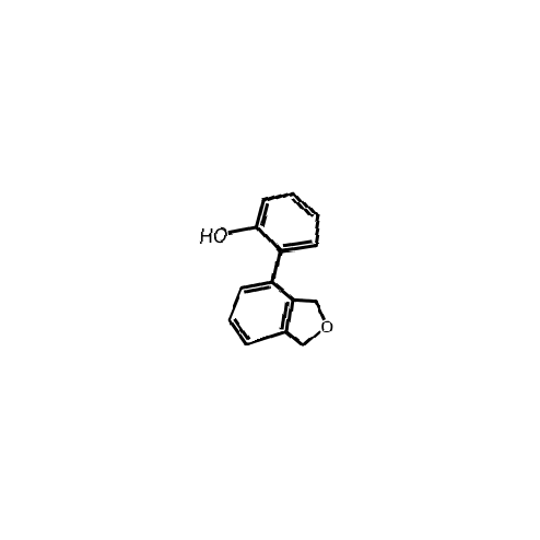 Oc1ccccc1-c1cccc2c1COC2